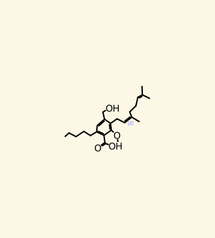 CCCCCc1cc(CO)c(C/C=C(/C)CCC=C(C)C)c(OC)c1C(=O)O